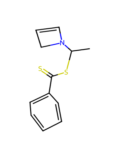 CC(SC(=S)c1ccccc1)N1C=CC1